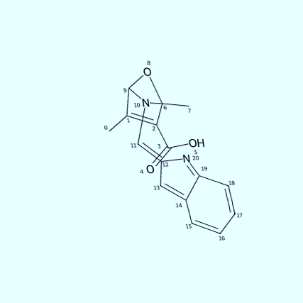 CC1=C(C(=O)O)C2(C)OC1N2/C=C1/C=c2ccccc2=N1